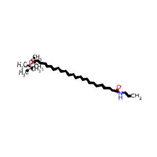 C=CCNC(=O)CCCCCCCCCCCCCCCCCCCCCC[Si](C)(C)O[Si](C)(C)C